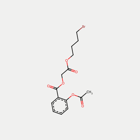 CC(=O)Oc1ccccc1C(=O)OCC(=O)OCCCCBr